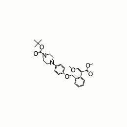 CO/C=C(/C(=O)OC)c1ccccc1COc1ccc(N2CCN(C(=O)OC(C)(C)C)CC2)cc1